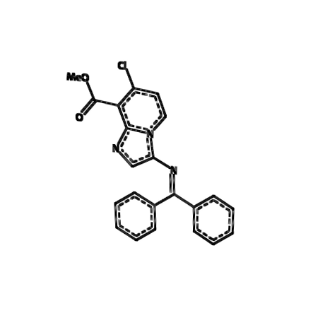 COC(=O)c1c(Cl)ccn2c(N=C(c3ccccc3)c3ccccc3)cnc12